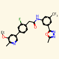 CCOc1cc(-c2ccc(CC(=O)Nc3cc(-c4nnc(C)o4)cc(C(F)(F)F)c3)c(F)c2)cnc1C